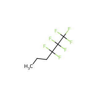 CCCC(F)(F)C(F)(F)C(F)(F)F